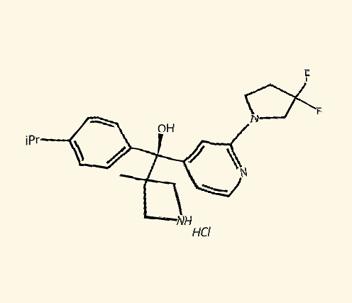 CC(C)c1ccc([C@](O)(c2ccnc(N3CCC(F)(F)C3)c2)C2(C)CNC2)cc1.Cl